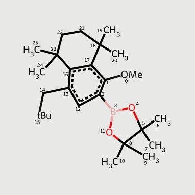 COc1c(B2OC(C)(C)C(C)(C)O2)cc(CC(C)(C)C)c2c1C(C)(C)CCC2(C)C